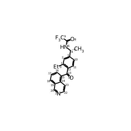 CCc1cc([C@@H](C)NC(=O)C(F)(F)F)ccc1C(=O)c1cccc2cnccc12